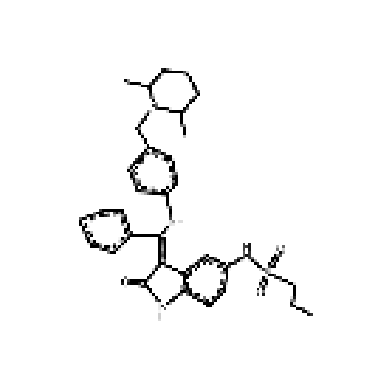 CCCS(=O)(=O)Nc1ccc2c(c1)C(=C(Nc1ccc(CN3C(C)CCCC3C)cc1)c1ccccc1)C(=O)N2